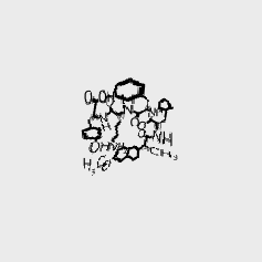 COc1ccc2cc([C@H](C)C(=O)N[C@H](Cc3ccccc3)C(=O)N[C@H](Cc3ccccc3)C(=O)N[C@H](CCCCN)C(=O)N[C@H](Cc3ccc(O)cc3)C(=O)O)ccc2c1